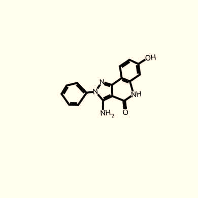 Nc1c2c(=O)[nH]c3cc(O)ccc3c2nn1-c1ccccc1